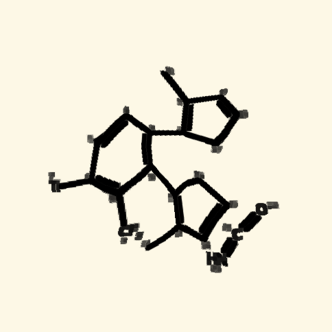 CC1=C(c2cc[c]([Ti])c(C(F)(F)F)c2C2=C(C)C=CC2)CC=C1.N=C=O